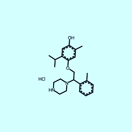 Cc1cc(OCC(c2ccccc2C)N2CCNCC2)c(C(C)C)cc1O.Cl